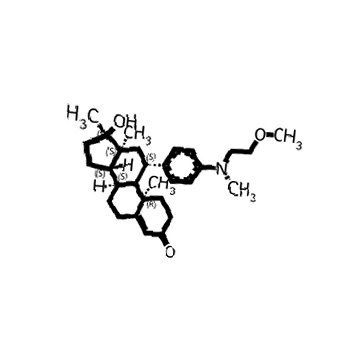 COCCN(C)c1ccc([C@H]2C[C@@]3(C)[C@@H](CC[C@]3(C)O)[C@@H]3CCC4=CC(=O)CC[C@]4(C)C23)cc1